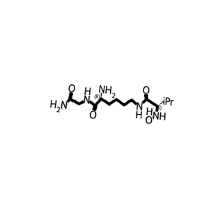 CC(C)[C@H](NO)C(=O)NCCCC[C@@H](N)C(=O)NCC(N)=O